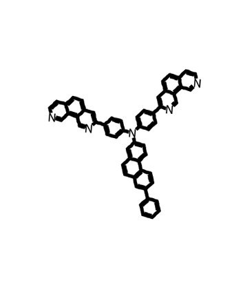 c1ccc(-c2ccc3c(ccc4cc(N(c5ccc(-c6cc7ccc8ccncc8c7cn6)cc5)c5ccc(-c6cc7ccc8ccncc8c7cn6)cc5)ccc43)c2)cc1